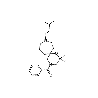 CC(C)CCN1CCC[C@]2(CC1)CN(C(=O)c1ccccc1)CC1(CC1)O2